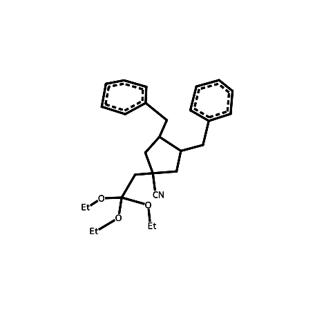 CCOC(CC1(C#N)CC(Cc2ccccc2)C(Cc2ccccc2)C1)(OCC)OCC